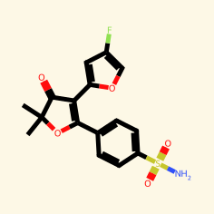 CC1(C)OC(c2ccc(S(N)(=O)=O)cc2)=C(c2cc(F)co2)C1=O